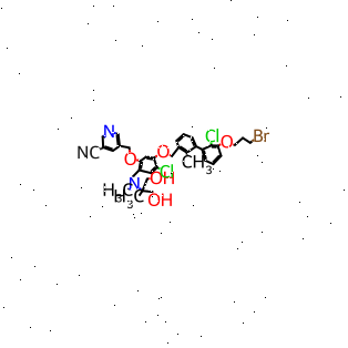 Cc1c(COc2cc(OCc3cncc(C#N)c3)c(CN(C)C(C)(CO)CO)cc2Cl)cccc1-c1cccc(OCCCBr)c1Cl